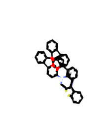 C=C/C=c1\c(=C/N(c2ccc3c(c2)C2(c4ccccc4-c4ccccc42)c2ccccc2-3)c2ccccc2-c2ccccc2)sc2ccccc12